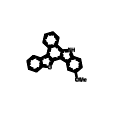 COc1ccc2[nH]c3c4ccccc4c4c5ccccc5oc4c3c2c1